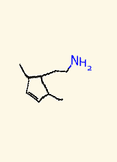 CC1C=CC(C)C1CCN